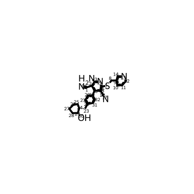 N#Cc1c(N)nc(SCc2cccnc2)c(C#N)c1-c1ccc(C[C@H]2CCCC[C@@H]2O)cc1